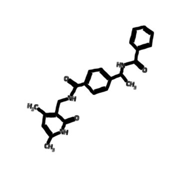 Cc1cc(C)c(CNC(=O)c2ccc(C(C)NC(=O)c3ccccc3)cc2)c(=O)[nH]1